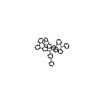 c1ccc(-c2ccc(N(c3ccc4c(c3)-c3ccccc3N(c3ccccc3)c3ccccc3-4)c3ccc4c(c3)C3(c5ccccc5-c5ccccc5-4)c4ccccc4-c4cc5c(cc43)sc3ccccc35)cc2)cc1